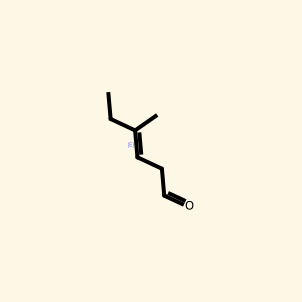 CC/C(C)=C/CC=O